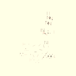 COc1c(O)c2c(=O)cc(OC)c3c4c(OC)cc(=O)c5c(NCCC(=O)NCCN6CCNCC6)c(CCCC(=O)NCCN6CCNCC6)c6c(c(c1C(C(C)=O)C(C)=C6)c23)c54